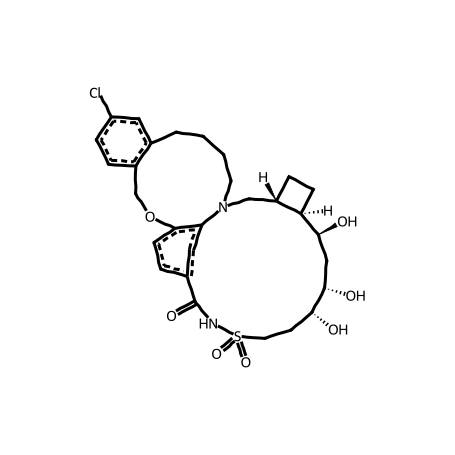 O=C1NS(=O)(=O)CC[C@@H](O)[C@@H](O)C[C@H](O)[C@@H]2CC[C@H]2CN2CCCCc3cc(Cl)ccc3COc3ccc1cc32